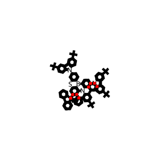 CC(C)(C)c1cc(-c2ccccc2)c(N2c3cc(-n4c5ccc(C(C)(C)C)cc5c5cc(C(C)(C)C)ccc54)ccc3B3c4ccc(-n5c6ccc(C(C)(C)C)cc6c6cc(C(C)(C)C)ccc65)cc4Sc4cc(C5(c6ccccc6)c6ccccc6-c6ccccc65)cc2c43)c(-c2ccccc2)c1